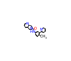 Cc1ccc(NC(=O)N2C3CCC2c2ncccc23)cc1-c1ccccn1